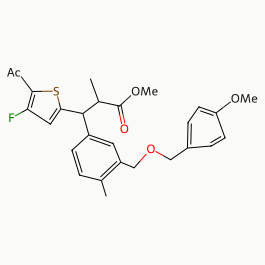 COC(=O)C(C)C(c1ccc(C)c(COCc2ccc(OC)cc2)c1)c1cc(F)c(C(C)=O)s1